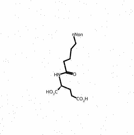 CCCCCCCCCCCCCC(=O)N[C@@H](CCC(=O)O)C(=O)O